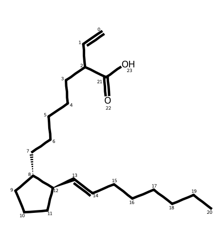 C=CC(CCCCC[C@H]1CCC[C@@H]1C=CCCCCCC)C(=O)O